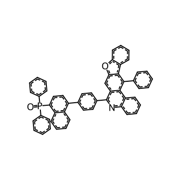 O=P(c1ccccc1)(c1ccccc1)c1ccc(-c2ccc(-c3nc4ccccc4c4c(-c5ccccc5)c5c(cc34)oc3ccccc35)cc2)c2ccccc12